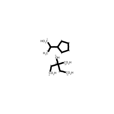 CC(C(=O)O)C1CCCC1.O=C(O)CC(O)(CC(=O)O)C(=O)O